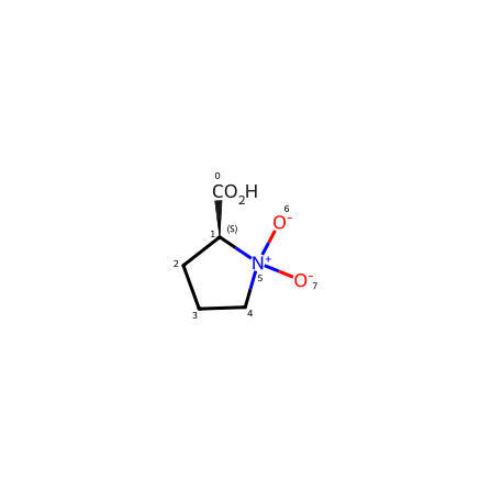 O=C(O)[C@@H]1CCC[N+]1([O-])[O-]